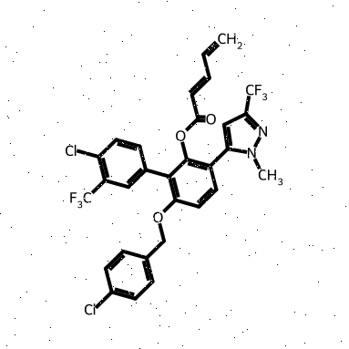 C=C/C=C/C(=O)Oc1c(-c2cc(C(F)(F)F)nn2C)ccc(OCc2ccc(Cl)cc2)c1-c1ccc(Cl)c(C(F)(F)F)c1